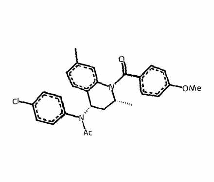 COc1ccc(C(=O)N2c3cc(C)ccc3[C@@H](N(C(C)=O)c3ccc(Cl)cc3)C[C@H]2C)cc1